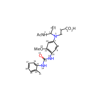 CCC(NC(C)=O)N(CCC(=O)O)c1ccc(NC(=O)Nc2ccccc2C)c(OC)c1